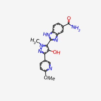 COc1ccc(-c2nn(C)c(-c3nc4cc(C(N)=O)ccc4[nH]3)c2O)cn1